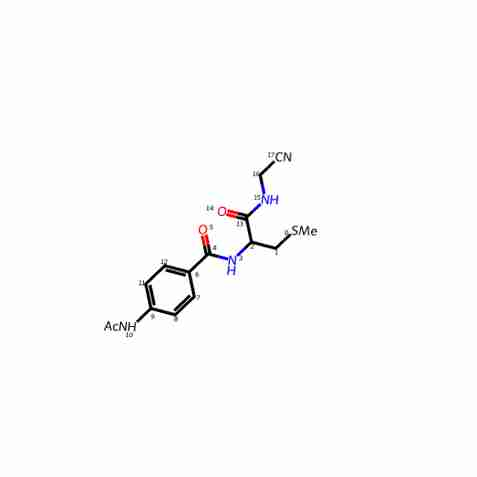 CSCC(NC(=O)c1ccc(NC(C)=O)cc1)C(=O)NCC#N